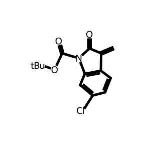 C=C1C(=O)N(C(=O)OC(C)(C)C)c2cc(Cl)ccc21